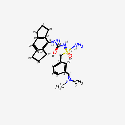 CN(C)Cc1cccc(CS(N)(=O)=NC(=O)Nc2c3c(cc4c2CCC4)CCC3)c1